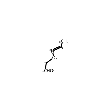 CC=NOC[C]=O